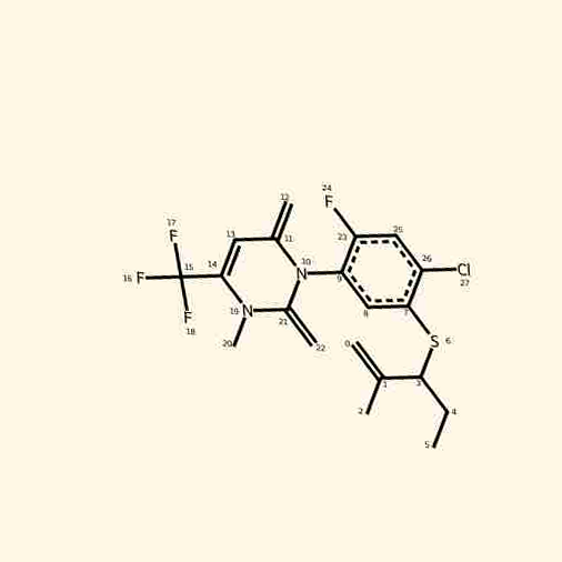 C=C(C)C(CC)Sc1cc(N2C(=C)C=C(C(F)(F)F)N(C)C2=C)c(F)cc1Cl